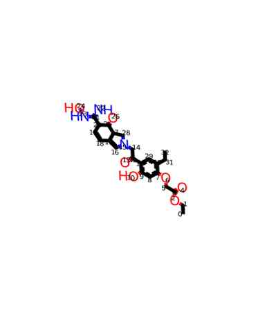 CCOC(=O)COc1cc(O)c(C(=O)CN2C=C3C=CC(C(=N)NO)C(=O)C3C2)cc1CC